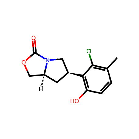 Cc1ccc(O)c([C@H]2C[C@H]3COC(=O)N3C2)c1Cl